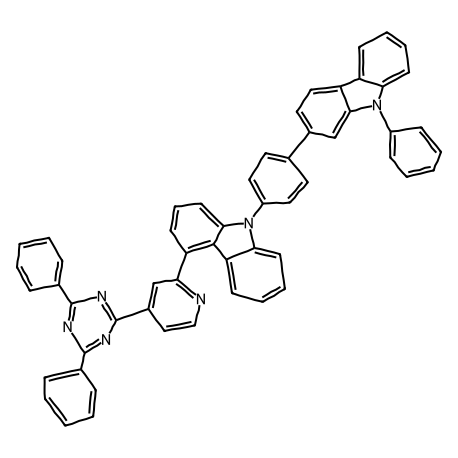 c1ccc(-c2nc(-c3ccccc3)nc(-c3ccnc(-c4cccc5c4c4ccccc4n5-c4ccc(-c5ccc6c7ccccc7n(-c7ccccc7)c6c5)cc4)c3)n2)cc1